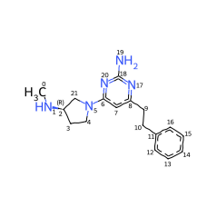 CN[C@@H]1CCN(c2cc(CCc3ccccc3)nc(N)n2)C1